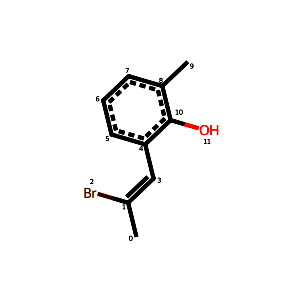 CC(Br)=Cc1cccc(C)c1O